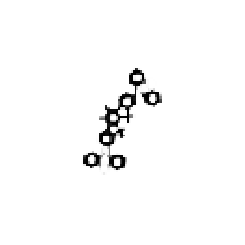 Cc1c(C)c2c(c3c1-c1ccc(N4c5ccccc5Oc5ccccc54)cc1C3(C)C)C(C)(C)C1C=C(N3c4ccccc4Oc4ccccc43)C=CC21